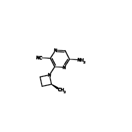 C[C@H]1CCN1c1nc(N)cnc1C#N